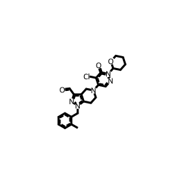 Cc1ccccc1Cn1nc(C=O)c2c1CCN(c1cnn(C3CCCCO3)c(=O)c1Cl)C2